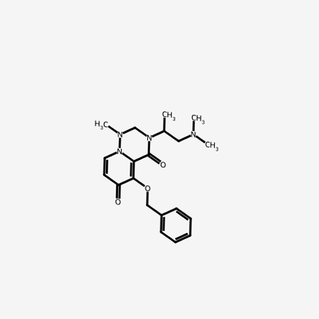 CC(CN(C)C)N1CN(C)n2ccc(=O)c(OCc3ccccc3)c2C1=O